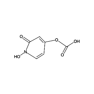 O=C(O)Oc1ccn(O)c(=O)c1